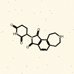 O=C1CCC(N2C(=O)c3ccc4c(c3C2=O)CCNCC4)C(=O)N1